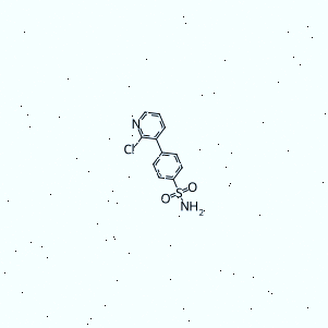 NS(=O)(=O)c1ccc(-c2cccnc2Cl)cc1